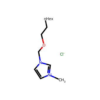 CCCCCCCCOCn1cc[n+](C)c1.[Cl-]